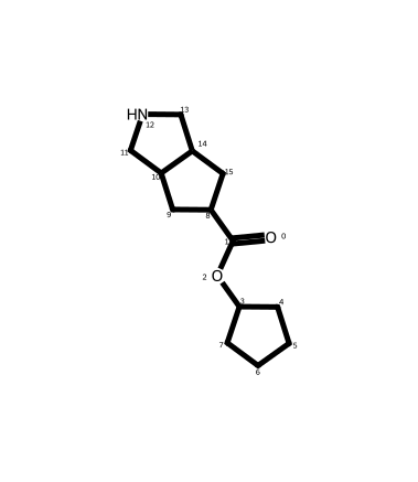 O=C(OC1CCCC1)C1CC2CNCC2C1